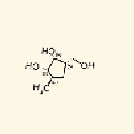 C[C@@H]1C[C@@H](CO)[C@@H](O)[C@H]1O